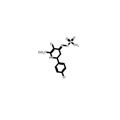 CCOC(=O)C1=C(Cl)C(=NOS(C)(=O)=O)CC(c2ccc(Cl)cc2)N1